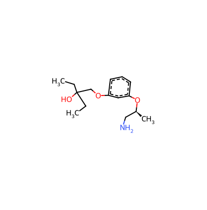 CCC(O)(CC)COc1cccc(O[C@@H](C)CN)c1